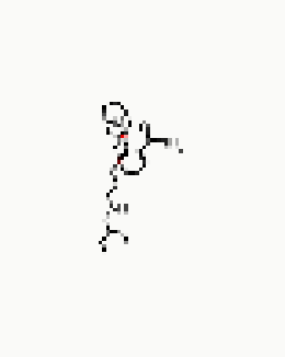 CCC(CC)CNCCCCCCN1C2CCC1CC(c1ccccc1C(N)=O)C2